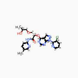 Cc1ccc(NC(=O)[C@H](COCC(C)O)Oc2ncnc3c2cnn3-c2ncccc2Cl)nc1